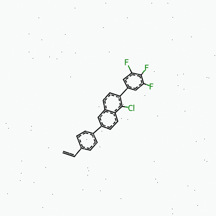 C=Cc1ccc(-c2ccc3c(Cl)c(-c4cc(F)c(F)c(F)c4)ccc3c2)cc1